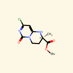 CC(C)(C)OC(=O)[C@@]1(C)CCn2c(cc(Cl)nc2=O)N1